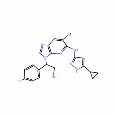 OCC(c1ccc(F)cc1)n1cnc2cc(Cl)c(Nc3cc(C4CC4)[nH]n3)nc21